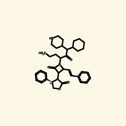 O=C(O)CCC(C(=O)N(C1CCCCC1)N1CCNCC1)N1C(=O)C(N2C(=O)OC[C@@H]2c2ccccc2)C1C=Cc1ccccc1